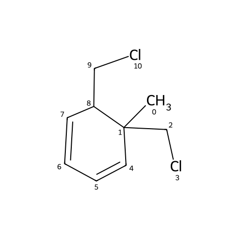 CC1(CCl)C=CC=CC1CCl